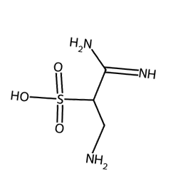 N=C(N)C(CN)S(=O)(=O)O